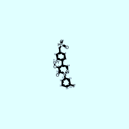 CCCOc1c(-c2ccc(C[SH](=O)=O)cc2)cnn(-c2cccc(F)c2)c1=O